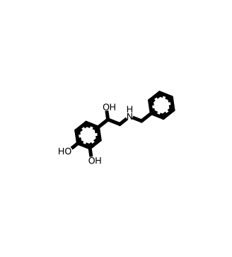 Oc1ccc(C(O)CNCc2ccccc2)cc1O